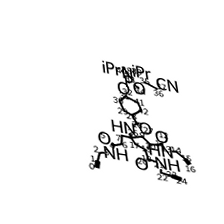 C#CCNC(=O)CCC(CCC(=O)NCC#C)(CCC(=O)NCC#C)NC(=O)C1CCC(OP(OCCC#N)N(C(C)C)C(C)C)CC1